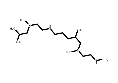 CNCCN(C)CC(C)CCCNCCN(C)CC(C)C